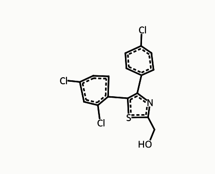 OCc1nc(-c2ccc(Cl)cc2)c(-c2ccc(Cl)cc2Cl)s1